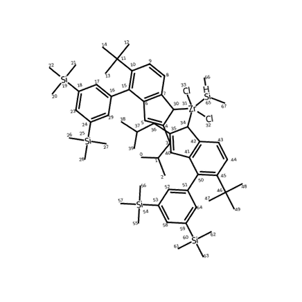 CC(C)CC1=Cc2c(ccc(C(C)(C)C)c2-c2cc([Si](C)(C)C)cc([Si](C)(C)C)c2)[CH]1[Zr]([Cl])([Cl])([CH]1C(CC(C)C)=Cc2c1ccc(C(C)(C)C)c2-c1cc([Si](C)(C)C)cc([Si](C)(C)C)c1)[SiH](C)C